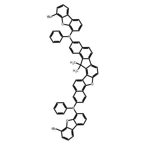 CC(C)(C)c1cccc2c1oc1c(N(c3ccccc3)c3ccc4c5c(ccc4c3)-c3ccc4oc6c7ccc(N(c8ccccc8)c8cccc9c8oc8c(C(C)(C)C)cccc89)cc7ccc6c4c3C5(C)C)cccc12